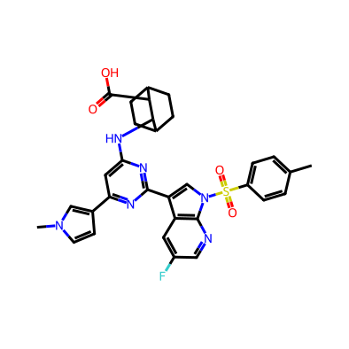 Cc1ccc(S(=O)(=O)n2cc(-c3nc(NC4C5CCC(CC5)C4C(=O)O)cc(-c4ccn(C)c4)n3)c3cc(F)cnc32)cc1